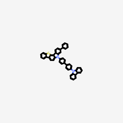 c1ccc(-c2ccc3c4c5sc6ccccc6c5ccc4n(-c4ccc(-c5ccc(-n6c7ccccc7c7ccccc76)cc5)cc4)c3c2)cc1